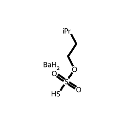 CC(C)CCOS(=O)(=O)S.[BaH2]